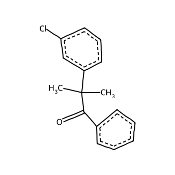 CC(C)(C(=O)c1ccccc1)c1cccc(Cl)c1